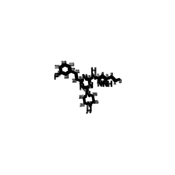 C/C=C/c1cc(Nc2nc(/C=C/c3cccc(F)c3)nc(N3CCNCC3)n2)n[nH]1